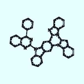 c1ccc(-c2nc(-n3c4ccccc4c4cc5c(cc43)c3nc4ccccc4n3c3cc4ccccc4n53)nc3ccccc23)cc1